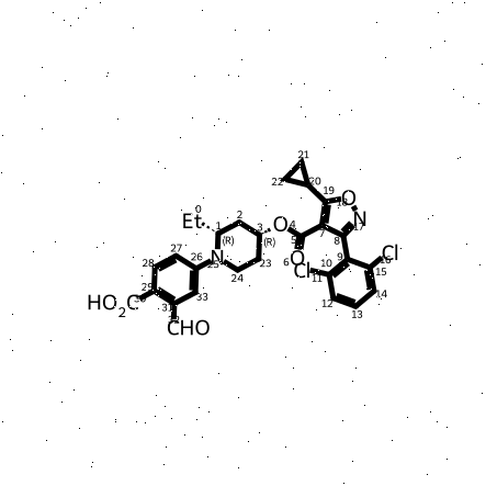 CC[C@@H]1C[C@H](OC(=O)c2c(-c3c(Cl)cccc3Cl)noc2C2CC2)CCN1c1ccc(C(=O)O)c(C=O)c1